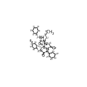 C=CCN(C(=O)NCc1ccccc1)N1CC(=O)N2[C@@H](c3ccccc3)C(=O)N(Cc3ccc(F)cc3)C[C@@H]21